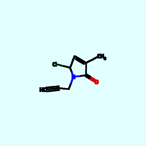 C#CCN1C(=O)C(C)=CC1Cl